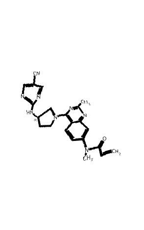 C=CC(=O)N(C)c1ccc2c(N3CC[C@@H](Nc4ncc(C#N)cn4)C3)nc(C)nc2c1